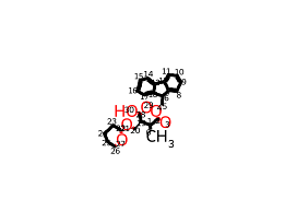 CC(C(=O)OCC1c2ccccc2-c2ccccc21)[C@@H](COC1CCCCO1)C(=O)O